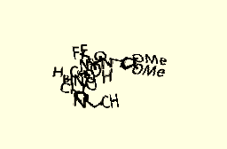 C#CCc1cc(C(=O)N[C@@H](C)C(=O)N2CC(F)(F)C[C@H]2C(=O)C(=O)NCc2ccc(OC)c(OC)c2)c(Cl)cn1